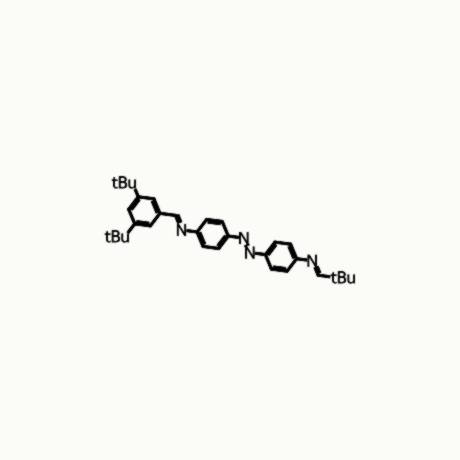 CC(C)(C)/C=N/c1ccc(/N=N/c2ccc(/N=C/c3cc(C(C)(C)C)cc(C(C)(C)C)c3)cc2)cc1